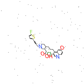 COc1ccc2ncc(Cl)c(CCCC3CCN(CC#Cc4ccc(F)s4)CC3CC(=O)O)c2c1